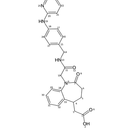 O=C(O)CC1CCC(=O)N(CC(=O)NCc2ccc(Nc3ccccn3)cc2)c2ccccc21